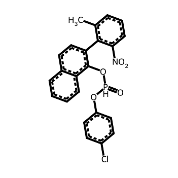 Cc1cccc([N+](=O)[O-])c1-c1ccc2ccccc2c1O[PH](=O)Oc1ccc(Cl)cc1